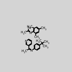 CC(=Nc1ccc(C(C)(C)C)cc1)c1cccnc1.C[C]([Fe])=Nc1c(C)cc(C)cc1C